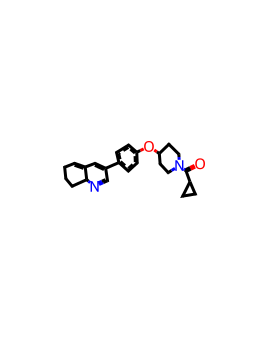 O=C(C1CC1)N1CCC(Oc2ccc(C3=CC4=CCCCC4N=C3)cc2)CC1